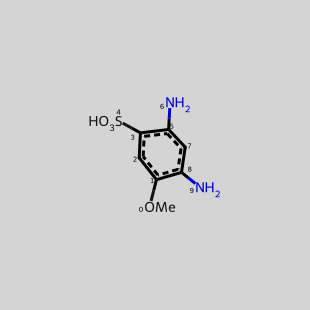 COc1cc(S(=O)(=O)O)c(N)cc1N